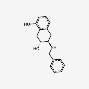 Oc1cccc2c1C[C@@H](O)[C@H](NCc1ccccc1)C2